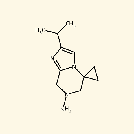 CC(C)c1cn2c(n1)CN(C)CC21CC1